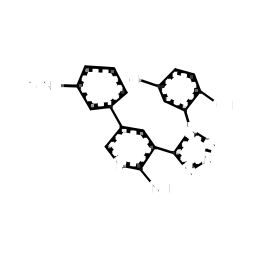 CC(=O)Nc1cccc(-c2cnc(N)c(-c3nnnn3-c3cc(Cl)ccc3C)c2)c1